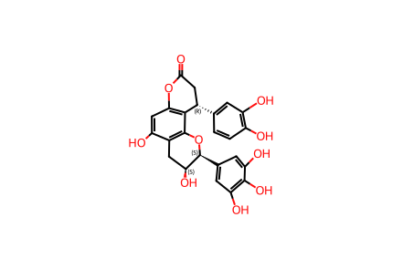 O=C1C[C@H](c2ccc(O)c(O)c2)c2c(cc(O)c3c2O[C@@H](c2cc(O)c(O)c(O)c2)[C@@H](O)C3)O1